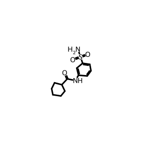 NS(=O)(=O)c1cccc(NC(=O)C2CCCCC2)c1